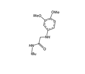 COc1ccc(NCC(=O)NC(C)(C)C)cc1OC